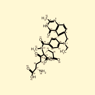 CCN(Cc1ccc2nc(C)[nH]c(=O)c2c1)c1ccc(C(=O)N(C)[C@@](CCC(=O)O)(C(=O)O)C(=O)CC[C@H](N)C(=O)O)cc1